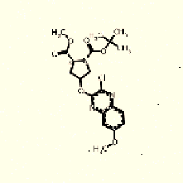 COC(=O)[C@@H]1CC(Oc2nc3cc(OC)ccc3nc2Cl)CN1C(=O)OC(C)(C)C